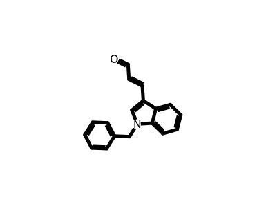 O=C/C=C/c1cn(Cc2ccccc2)c2ccccc12